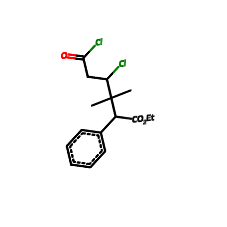 CCOC(=O)C(c1ccccc1)C(C)(C)C(Cl)CC(=O)Cl